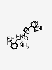 NC[C@H](Cc1ccccc1C(F)(F)F)NC(=O)c1ccc(-c2ccnc3[nH]ccc23)o1